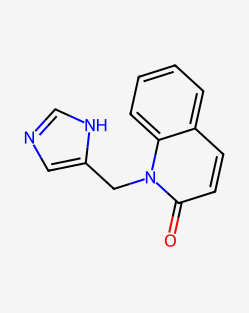 O=c1ccc2ccccc2n1Cc1cnc[nH]1